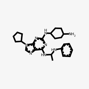 CC(Nc1ccccc1)Nc1nc(NC2CCC(N)CC2)nc2c1ncn2C1CCCC1